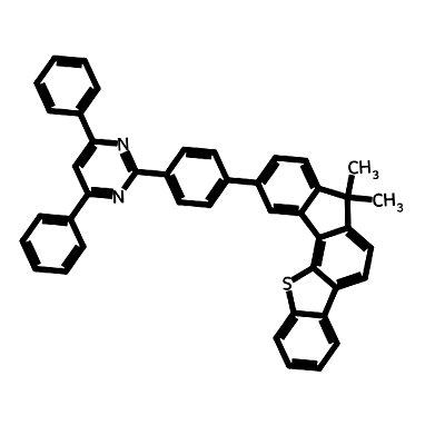 CC1(C)c2ccc(-c3ccc(-c4nc(-c5ccccc5)cc(-c5ccccc5)n4)cc3)cc2-c2c1ccc1c2sc2ccccc21